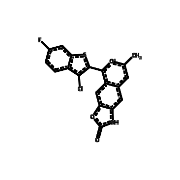 Cc1cc2cc3[nH]c(=O)oc3cc2c(-c2sc3cc(F)ccc3c2Cl)[o+]1